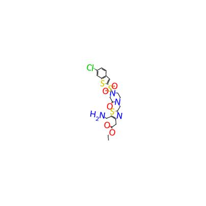 CCOC(=O)Cc1nc(CN2CCN(S(=O)(=O)c3cc4ccc(Cl)cc4s3)CC2=O)sc1CN